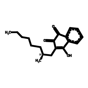 CCCCCC[C@H](C)CC1=C(O)c2ccccc2C(=O)C1=O